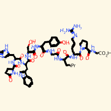 CC(C)CC(NC(=O)CNC(=O)C(Cc1ccc(O)cc1)NC(=O)C(CO)NC(=O)C(Cc1c[nH]c2ccccc12)NC(=O)C(Cc1cnc[nH]1)NC(=O)C1CCC(=O)N1)C(=O)NC(CCCN=C(N)N)C(=O)N1CCCC1C(=O)NCC(=O)O